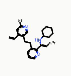 C=Cc1cc(CC)ncc1CCc1cccnc1/C(=C/CCC)NC1CCCCC1